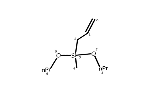 C=CC[Si](C)(OCCC)OCCC